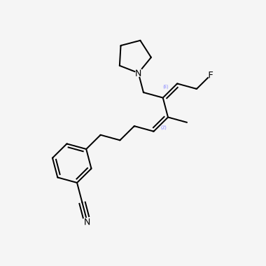 CC(=C/CCCc1cccc(C#N)c1)/C(=C\CF)CN1CCCC1